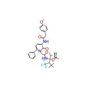 COc1ccc(CC(=O)Nc2ccc(-c3ccccc3)n(CC(=O)NC(O[SiH](C)C)(C(C)C)C(C(C)(C)C)C(F)(F)F)c2=O)cc1